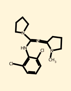 CN1CCCC1=[N+]=C(Nc1c(Cl)cccc1Cl)N1CCCC1